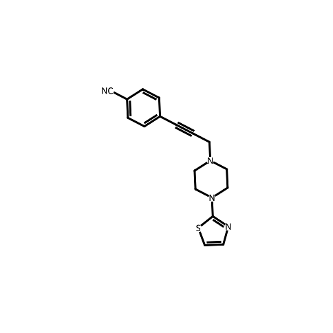 N#Cc1ccc(C#CCN2CCN(c3nccs3)CC2)cc1